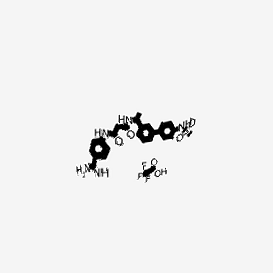 CC(NC(=O)CC(=O)Nc1ccc(C(=N)N)cc1)c1cccc(-c2ccc(NS(C)(=O)=O)cc2)c1.O=C(O)C(F)(F)F